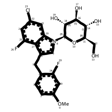 COc1ccc(Cc2cn([C@@H]3O[C@H](CO)[C@@H](O)[C@H](O)[C@H]3O)c3cc(Cl)cc(F)c23)c(F)c1